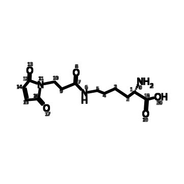 N[C@@H](CCCCNC(=O)CCN1C(=O)C=CC1=O)C(=O)O